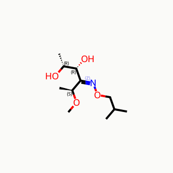 CO[C@@H](C)/C(=N\OCC(C)C)[C@@H](O)[C@@H](C)O